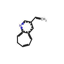 C=Cc1cnc2c(c1)=CC=CCC=2